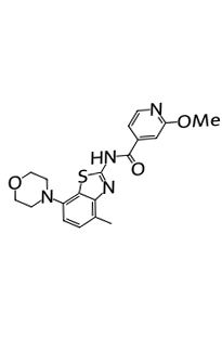 COc1cc(C(=O)Nc2nc3c(C)ccc(N4CCOCC4)c3s2)ccn1